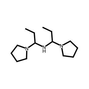 CCC(NC(CC)N1CCCC1)N1CCCC1